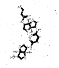 CC(=O)CCC(=O)O[C@H]1CO[C@H]2[C@@H]1OC[C@@H]2OC(=O)/C=C\C(=O)O[C@H]1CO[C@H]2[C@@H]1OC[C@@H]2O